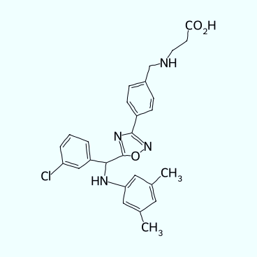 Cc1cc(C)cc(NC(c2cccc(Cl)c2)c2nc(-c3ccc(CNCCC(=O)O)cc3)no2)c1